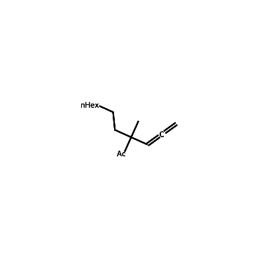 C=C=CC(C)(CCCCCCCC)C(C)=O